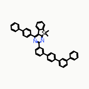 C[Si]1(C)c2ccccc2-c2c(-c3ccc(-c4ccccc4)cc3)nc(-c3cccc(-c4ccc(-c5cccc(-c6ccccc6)c5)cc4)c3)nc21